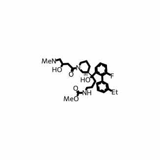 CCc1cccc(-c2c(F)cccc2C(O)(CCCNC(=O)OC)[C@@H]2CCCN(C(=O)CC(O)CNC)C2)c1